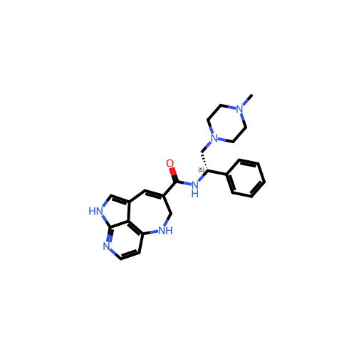 CN1CCN(C[C@@H](NC(=O)C2=Cc3c[nH]c4nccc(c34)NC2)c2ccccc2)CC1